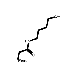 CCCCCCC(=O)NCCCCO